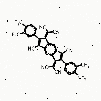 N#CC(C#N)=C1C(c2ccc(C(F)(F)F)c(C(F)(F)F)c2)=C(C#N)c2cc3c(cc21)C(C#N)=C(c1ccc(C(F)(F)F)c(C(F)(F)F)c1)C3=C(C#N)C#N